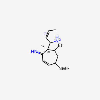 C/C=C\C(N)[C@]1(C)C(=N)C=CC(NC)CC1CC